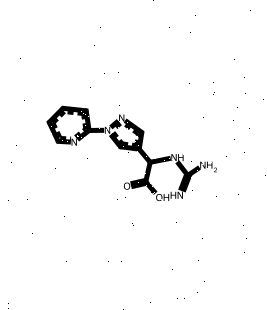 N=C(N)NC(C(=O)O)c1cnn(-c2ccccn2)c1